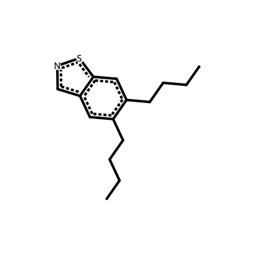 CCCCc1cc2cnsc2cc1CCCC